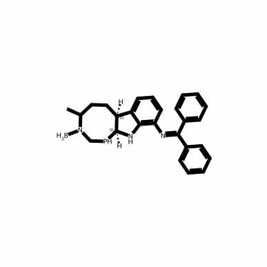 BN1CP[C@@H]2Nc3c(N=C(c4ccccc4)c4ccccc4)cccc3[C@@H]2CCC1C